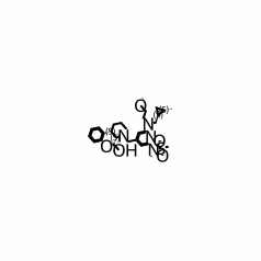 COCCN(C[C@H]1C[C@@H]1C)c1cc(CN2CCC[C@@H](c3ccccc3)[C@H]2C(=O)O)cc(N(C)S(C)(=O)=O)n1